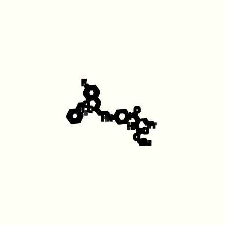 CC(C)C[C@H](NC(=O)OC(C)(C)C)C(=O)N1CCC(NCCC(C)Cc2ccc(F)cc2OCc2ccccc2)CC1